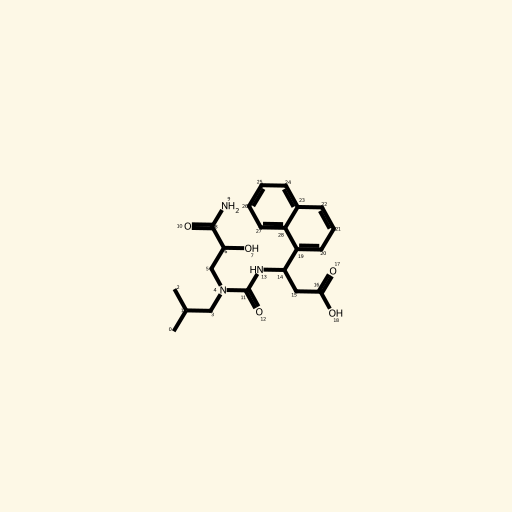 CC(C)CN(CC(O)C(N)=O)C(=O)NC(CC(=O)O)c1cccc2ccccc12